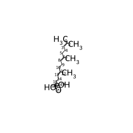 CC(C)=CCC/C(C)=C/CC/C(C)=C/CCP(=O)(O)O